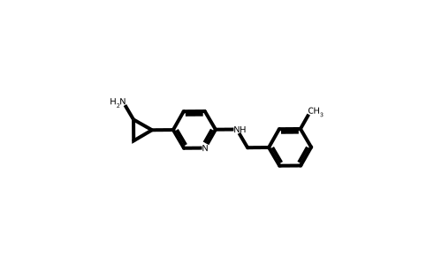 Cc1cccc(CNc2ccc(C3CC3N)cn2)c1